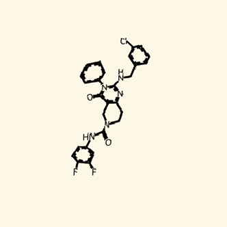 O=C(Nc1ccc(F)c(F)c1)N1CCc2nc(NCc3cccc(Cl)c3)n(-c3ccccc3)c(=O)c2C1